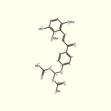 CCCc1ccc(OC)c(C=CC(=O)c2ccc(OC(OC(=O)C(C)(C)C)OC(=O)C(C)(C)C)cc2)c1OC